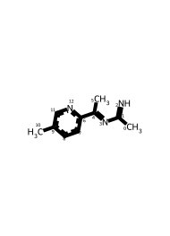 CC(=N)/N=C(\C)c1ccc(C)cn1